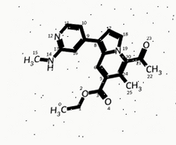 CCOC(=O)c1cc2c(-c3ccnc(NC)c3)ccn2c(C(C)=O)c1C